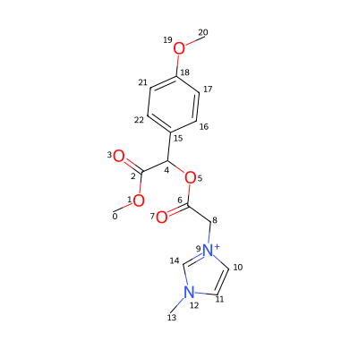 COC(=O)C(OC(=O)C[n+]1ccn(C)c1)c1ccc(OC)cc1